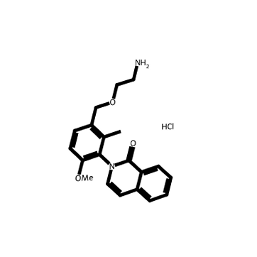 COc1ccc(COCCN)c(C)c1-n1ccc2ccccc2c1=O.Cl